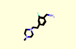 CN1CCN(CCc2ccc(CN)c(F)c2)CC1